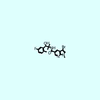 Cc1ccc(F)cc1C(O)C(C)(C)NC(=O)c1cnc2c(c1)c(Br)cn2C